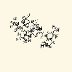 Cc1nc(N(C(=O)OC(C)(C)C)C(=O)OC(C)(C)C)nc2c1ccn2[C@@H]1C=C(CCc2cc(C(F)F)c(F)c3c2CNCC3)[C@H]2OC(C)(C)O[C@H]21